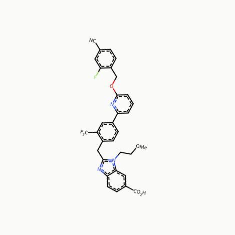 COCCn1c(Cc2ccc(-c3cccc(OCc4ccc(C#N)cc4F)n3)cc2C(F)(F)F)nc2ccc(C(=O)O)cc21